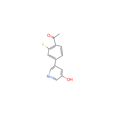 CC(=O)c1ccc(-c2cncc(O)c2)cc1F